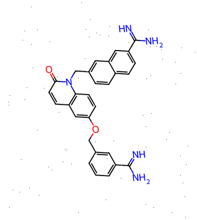 N=C(N)c1cccc(COc2ccc3c(ccc(=O)n3Cc3ccc4ccc(C(=N)N)cc4c3)c2)c1